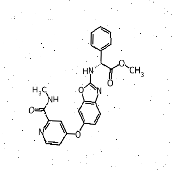 CNC(=O)c1cc(Oc2ccc3nc(N[C@@H](C(=O)OC)c4ccccc4)oc3c2)ccn1